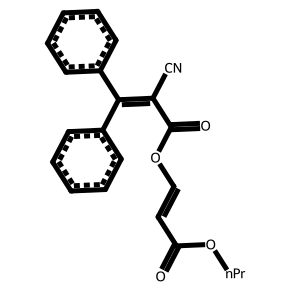 CCCOC(=O)C=COC(=O)C(C#N)=C(c1ccccc1)c1ccccc1